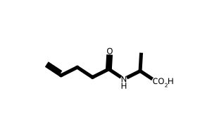 C=CCCC(=O)NC(C)C(=O)O